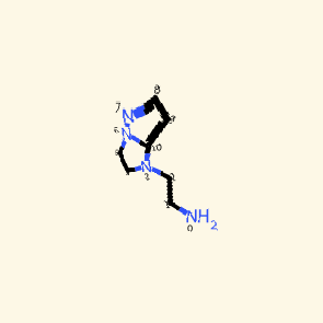 NCCN1CCn2nccc21